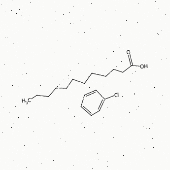 CCCCCCCCCCCC(=O)O.Clc1ccccc1